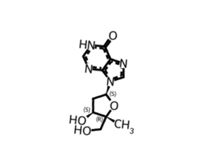 C[C@]1(CO)O[C@H](n2cnc3c(=O)[nH]cnc32)C[C@@H]1O